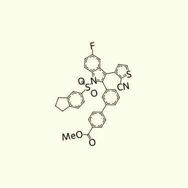 COC(=O)c1ccc(-c2cccc(-c3c(-c4ccsc4C#N)c4cc(F)ccc4n3S(=O)(=O)c3ccc4c(c3)CCC4)c2)cc1